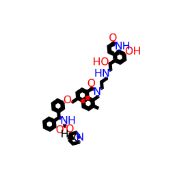 Cc1ccccc1CN(CCCNC[C@@H](O)c1ccc(O)c2[nH]c(=O)ccc12)C(=O)c1ccc(COc2cccc(C(NC(=O)O[C@H]3CN4CCC3CC4)c3ccccc3)c2)cc1